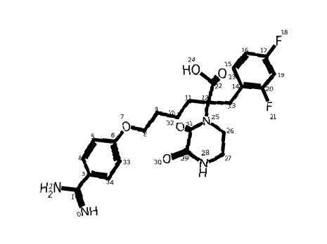 N=C(N)c1ccc(OCCCCC(Cc2ccc(F)cc2F)(C(=O)O)N2CCNC(=O)C2=O)cc1